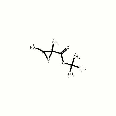 CC1OC1(C)C(=O)OC(C)(C)C